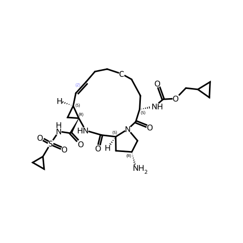 N[C@@H]1C[C@H]2C(=O)N[C@]3(C(=O)NS(=O)(=O)C4CC4)C[C@H]3/C=C\CCCCC[C@H](NC(=O)OCC3CC3)C(=O)N2C1